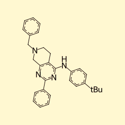 CC(C)(C)c1ccc(Nc2nc(-c3ccccc3)nc3c2CCN(Cc2ccccc2)C3)cc1